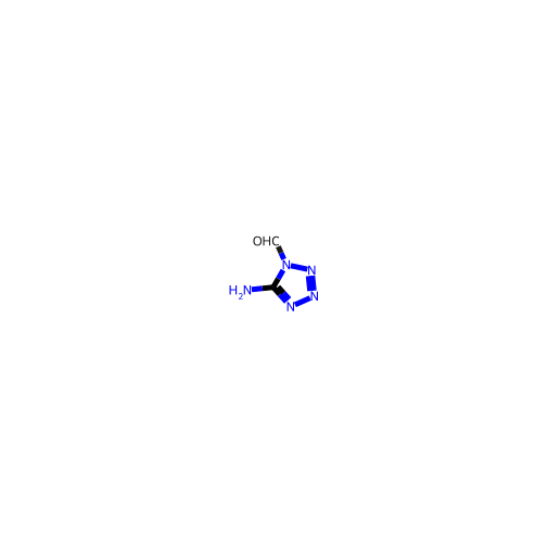 Nc1nnnn1C=O